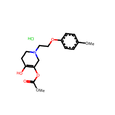 COC(=O)OC1=C(O)CCN(CCOc2ccc(OC)cc2)C1.Cl